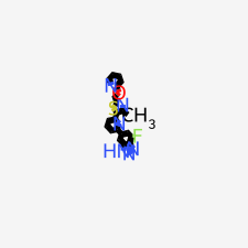 Cc1nc(COc2ccccn2)sc1-c1cccc(-c2cc(F)c3nn[nH]c3c2)n1